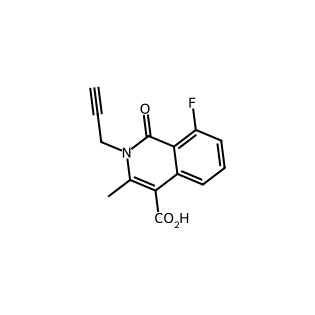 C#CCn1c(C)c(C(=O)O)c2cccc(F)c2c1=O